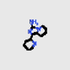 Nc1nc(-c2ccccn2)c2ccccn12